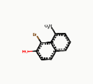 O=[N+]([O-])c1cccc2ccc(O)c(Br)c12